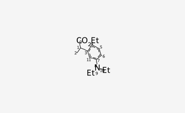 CCOC(=O)C(C)c1cccc(N(CC)CC)c1